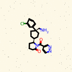 NC[C@]1(c2cccc(Cl)c2)CC[C@H](C2CCCC(=O)N2C(=O)c2ccnnc2)CC1